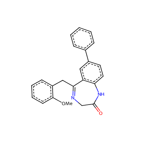 COc1ccccc1CC1=NCC(=O)Nc2ccc(-c3ccccc3)cc21